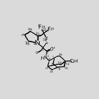 CC(C)(C(=O)NC1C2CC3CC1CC(O)(C3)C2)N1CCCC1C(F)(F)F